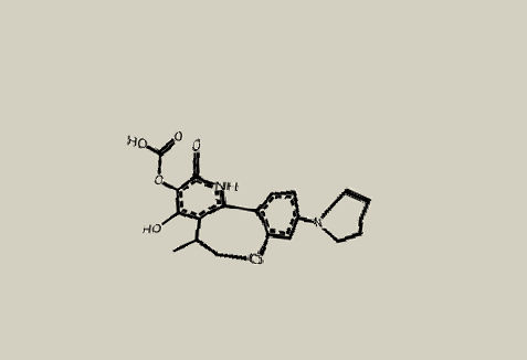 CC1COc2cc(N3CCCC3)ccc2-c2[nH]c(=O)c(OC(=O)O)c(O)c21